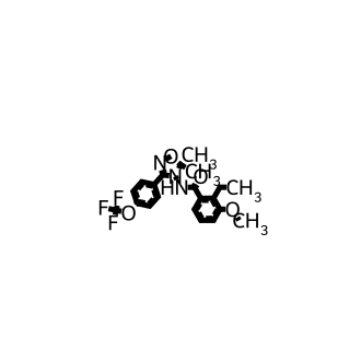 CCc1c(OC)cccc1C(=O)NN1C(c2ccc(OC(F)(F)F)cc2)=NOC1(C)C